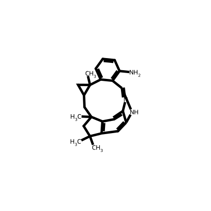 CC1(C)CC2(C)CC3CC3(C)c3cccc(N)c3-c3nc4cc2c1cc4[nH]3